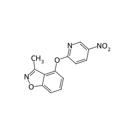 Cc1noc2cccc(Oc3ccc([N+](=O)[O-])cn3)c12